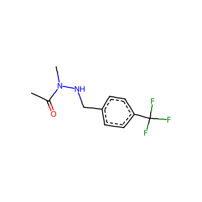 CC(=O)N(C)NCc1ccc(C(F)(F)F)cc1